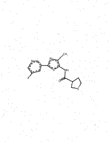 Cc1nc(-c2cncc(F)c2)sc1NC(=O)C1CCSC1